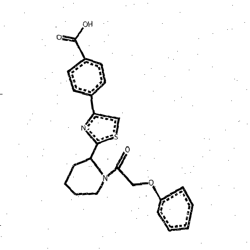 O=C(O)c1ccc(-c2csc(C3CCCCN3C(=O)COc3ccccc3)n2)cc1